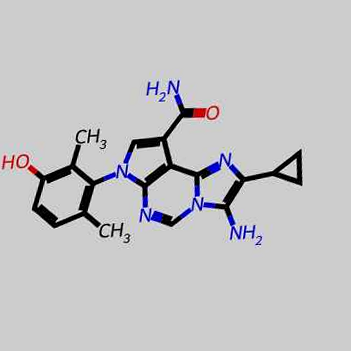 Cc1ccc(O)c(C)c1-n1cc(C(N)=O)c2c1ncn1c(N)c(C3CC3)nc21